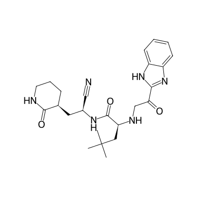 CC(C)(C)C[C@H](NCC(=O)c1nc2ccccc2[nH]1)C(=O)N[C@H](C#N)C[C@@H]1CCCNC1=O